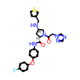 O=C(Nc1ccc(Oc2ccc(F)cc2)cc1)[C@@H]1C[C@@H](NCc2ccsc2)CN1C(=O)Cn1cncn1